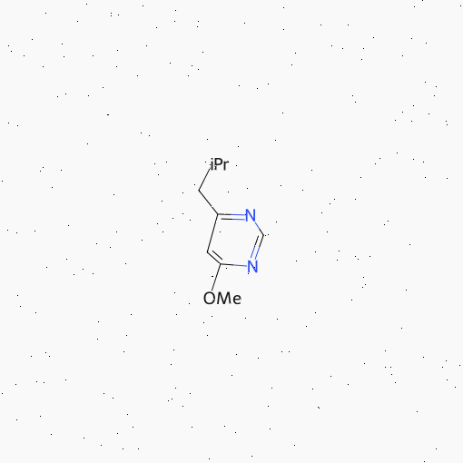 COc1cc(CC(C)C)ncn1